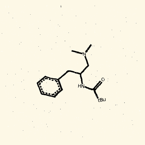 CN(C)CC(Cc1ccccc1)NC(=O)C(C)(C)C